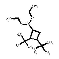 CCO[SiH](OCC)C1CC(C(C)(C)C)C1C(C)(C)C